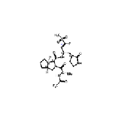 CC(C)(C)[C@H](NC(=O)C(F)(F)F)C(=O)N1C[C@H]2CCC[C@H]2[C@H]1C(=O)N[C@H](/C=C(\F)S(C)(=O)=O)C[C@@H]1CCNC1=O